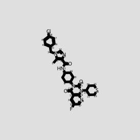 Cc1c(C(=O)NC2CCC(n3c(=O)c4cc(F)cnc4n(C4CCSCC4)c3=O)CC2)ncn1Cc1ccc(Cl)cc1